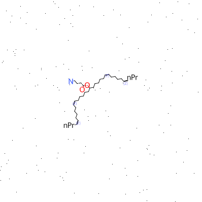 CCC/C=C\CCCC/C=C\CCCCCC(CCCCC/C=C\CCCC/C=C\CCC)OC(=O)CCCN(C)C